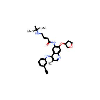 C#Cc1cccc(Nc2c(C#N)cnc3cc(OC4CCOC4)c(NC(=O)C=CCNC(C)(OC)OC)cc23)c1